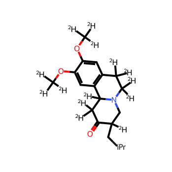 [2H]C([2H])([2H])Oc1cc2c(cc1OC([2H])([2H])[2H])C1([2H])N(CC([2H])(CC(C)C)C(=O)C1([2H])[2H])C([2H])([2H])C2([2H])[2H]